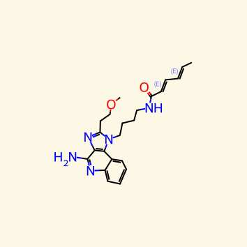 C/C=C/C=C/C(=O)NCCCCn1c(CCOC)nc2c(N)nc3ccccc3c21